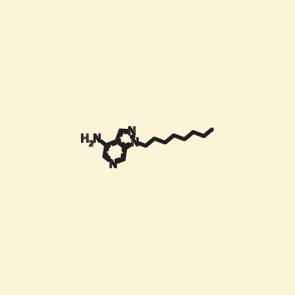 CCCCCCCCn1ncc2c(N)cncc21